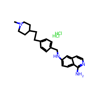 CN1CCC(CCc2ccc(CNc3ccc4c(N)nccc4c3)cc2)CC1.Cl.Cl